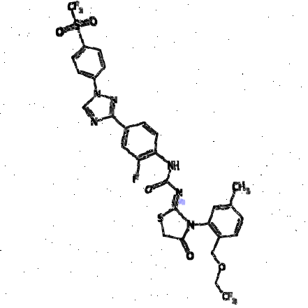 Cc1ccc(COCC(F)(F)F)c(N2C(=O)CS/C2=N\C(=O)Nc2ccc(-c3ncn(-c4ccc(S(=O)(=O)C(F)(F)F)cc4)n3)cc2F)c1